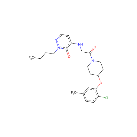 O=C(CNc1ccnn(CCCC(F)(F)F)c1=O)N1CCC(Oc2cc(C(F)(F)F)ccc2Cl)CC1